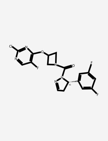 O=C(N1CC(Oc2nc(Cl)ncc2F)C1)N1N=CC[C@H]1c1cc(F)cc(F)c1